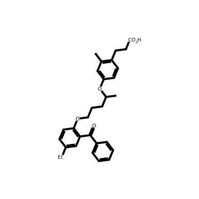 CCc1ccc(OCCCC(C)Oc2ccc(CCC(=O)O)c(C)c2)c(C(=O)c2ccccc2)c1